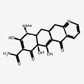 CN[C@@H]1C(O)=C(C(N)=O)C(=O)[C@@]2(O)C(O)=C3C(=O)c4cccnc4CC3CC12